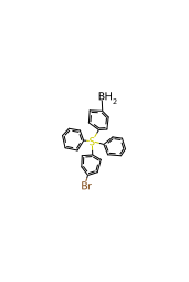 Bc1ccc(S(c2ccccc2)(c2ccccc2)c2ccc(Br)cc2)cc1